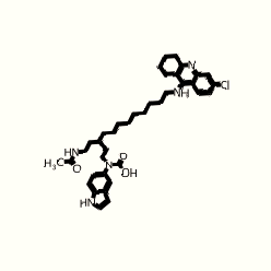 CC(=O)NCCC(CCCCCCCCCNc1c2c(nc3cc(Cl)ccc13)CCCC2)CCN(C(=O)O)c1ccc2[nH]ccc2c1